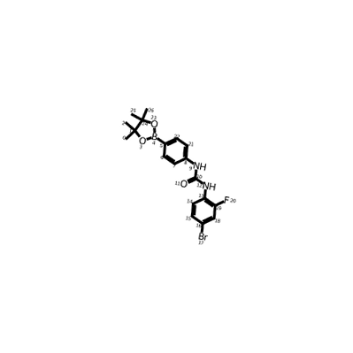 CC1(C)OB(c2ccc(NC(=O)Nc3ccc(Br)cc3F)cc2)OC1(C)C